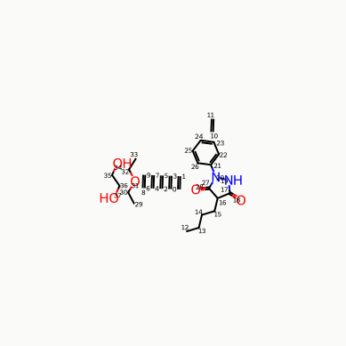 C=C.C=C.C=C.C=C.C=C.C=C.CCCCC1C(=O)NN(c2ccccc2)C1=O.CCOCC.OCCO